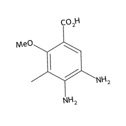 COc1c(C(=O)O)cc(N)c(N)c1C